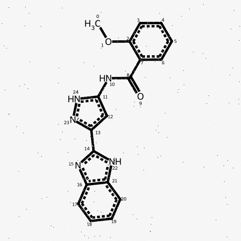 COc1ccccc1C(=O)Nc1cc(-c2nc3ccccc3[nH]2)n[nH]1